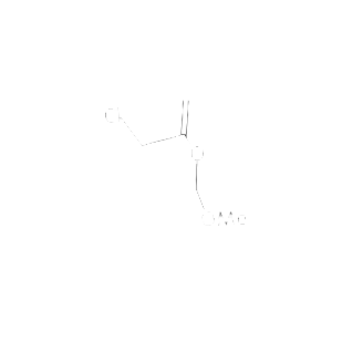 C=C(CCl)OCOC